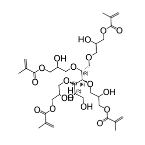 C=C(C)C(=O)OCC(O)COC[C@@H](OCC(O)COC(=O)C(=C)C)[C@@H](OCC(O)COC(=O)C(=C)C)[C@H](OCC(O)COC(=O)C(=C)C)[C@H](O)CO